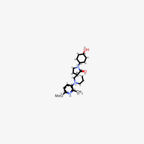 COc1ccc(N2CCC[C@@]3(CCN(C4CCC(O)CC4)C3=O)C2)c(C)n1